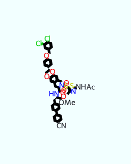 COC(=O)[C@@H](Cc1ccc(-c2ccc(C#N)cc2)cc1)NC(=O)C1Cc2cc3c(cc2CN1S(=O)(=O)c1sc(NC(C)=O)nc1C)O[C@@H](c1ccc(OCc2ccc(Cl)c(Cl)c2)cc1)CO3